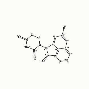 O=C1CCC(N2C(=O)c3cccc4cc(F)cc2c34)C(=O)N1